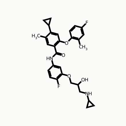 Cc1cc(F)ccc1Oc1cc(C2CC2)c(C)cc1C(=O)Nc1ccc(F)c(OCC(O)CNC2CC2)c1